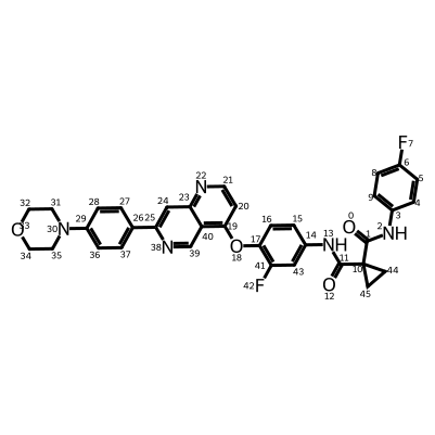 O=C(Nc1ccc(F)cc1)C1(C(=O)Nc2ccc(Oc3ccnc4cc(-c5ccc(N6CCOCC6)cc5)ncc34)c(F)c2)CC1